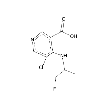 CC(CF)Nc1c(Cl)cncc1C(=O)O